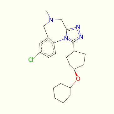 CN1Cc2cc(Cl)ccc2-n2c(nnc2[C@H]2CC[C@H](OC3CCCCC3)CC2)C1